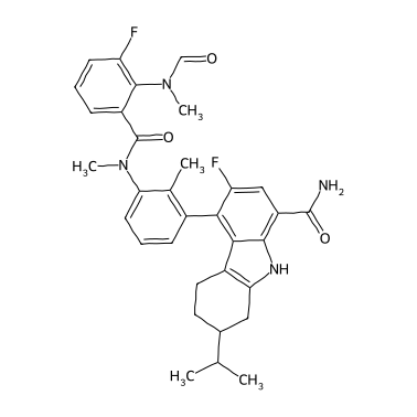 Cc1c(-c2c(F)cc(C(N)=O)c3[nH]c4c(c23)CCC(C(C)C)C4)cccc1N(C)C(=O)c1cccc(F)c1N(C)C=O